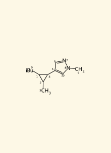 CCC(C)C1C(C)C1c1cnn(C)c1